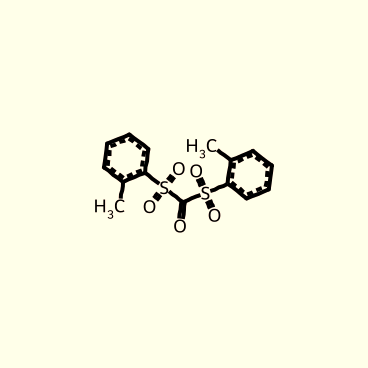 Cc1ccccc1S(=O)(=O)C(=O)S(=O)(=O)c1ccccc1C